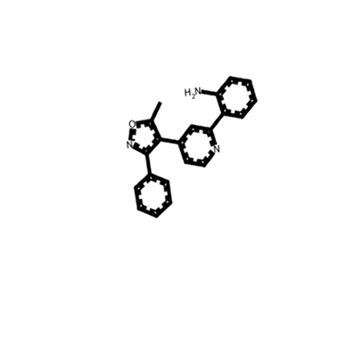 Cc1onc(-c2ccccc2)c1-c1ccnc(-c2ccccc2N)c1